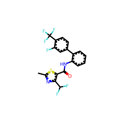 Cc1nc(C(F)F)c(C(=O)Nc2ccccc2-c2ccc(C(F)(F)F)c(F)c2)s1